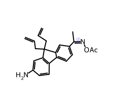 C=CCC1(CC=C)c2cc(N)ccc2-c2ccc(/C(C)=N\OC(C)=O)cc21